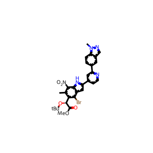 COC(=O)[C@@H](OC(C)(C)C)c1c(C)c([N+](=O)[O-])c2[nH]c(-c3ccnc(-c4ccc5c(cnn5C)c4)c3)cc2c1Br